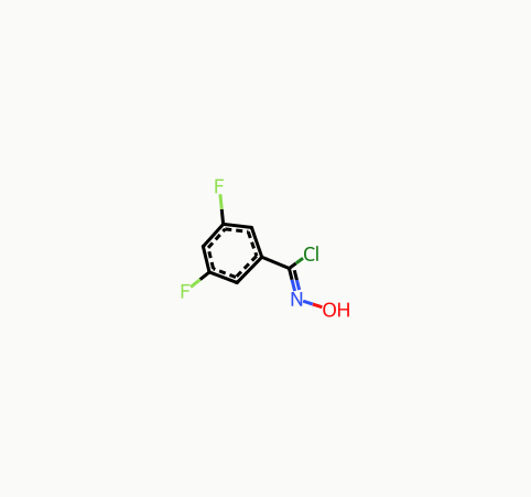 ON=C(Cl)c1cc(F)cc(F)c1